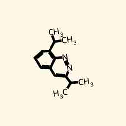 CC(C)c1cc2cccc(C(C)C)c2nn1